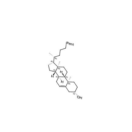 CCCC(C)CCC[C@@H](C)[C@H]1CC[C@H]2[C@@H]3CC=C4C[C@@H](O)CC[C@]4(C)[C@H]3CC[C@]12C